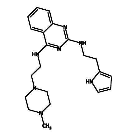 CN1CCN(CCNc2nc(NCCc3ccc[nH]3)nc3ccccc23)CC1